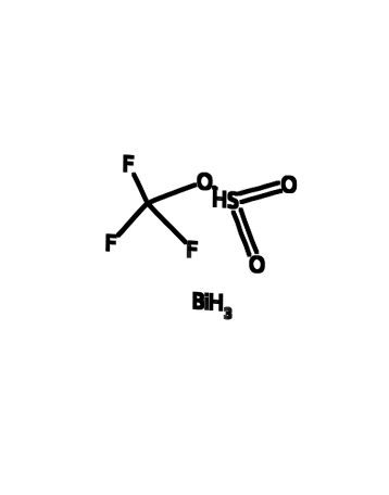 O=[SH](=O)OC(F)(F)F.[BiH3]